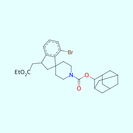 CCOC(=O)CC1CC2(CCN(C(=O)OC3C4CC5CC(C4)CC3C5)CC2)c2c(Br)cccc21